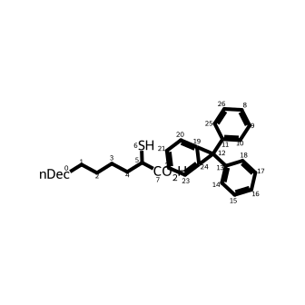 CCCCCCCCCCCCCCC(S)C(=O)O.c1ccc(C2(c3ccccc3)c3ccccc32)cc1